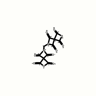 O=C1OC(=O)C12C(=O)N(CN1C(=O)C3(C(=O)OC3=O)C1=O)C2=O